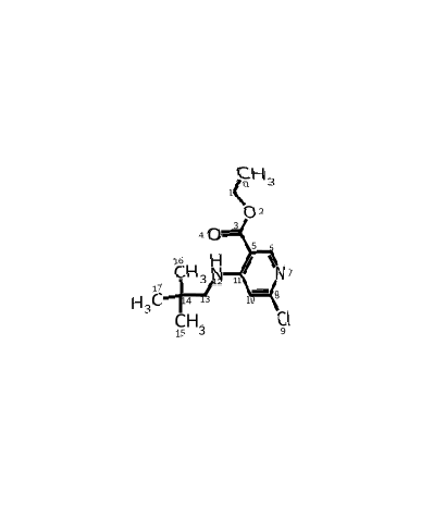 CCOC(=O)c1cnc(Cl)cc1NCC(C)(C)C